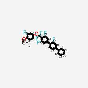 Fc1cc(OC(F)(F)c2c(F)cc(-c3ccc(-c4ccccc4)cc3F)cc2F)ccc1OC(F)(F)F